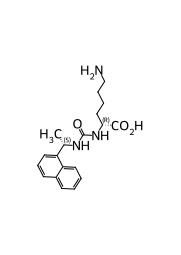 C[C@H](NC(=O)N[C@H](CCCCN)C(=O)O)c1cccc2ccccc12